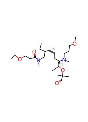 CCOCCC(=O)N(C)CC(/C=C\C/C(=C(\C)OC(C)(C)C=O)N(C)CCCOC)CC